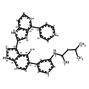 CC(C)CC(O)Nc1cncc(-c2cnc3[nH]nc(-c4nc5c(-c6ccncc6)nccc5[nH]4)c3c2F)c1